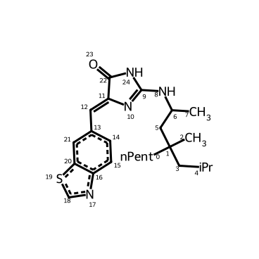 CCCCCC(C)(CC(C)C)CC(C)NC1=N/C(=C\c2ccc3ncsc3c2)C(=O)N1